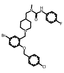 CN(CC1CCN(Cc2cc(Br)ccc2OCc2ccc(Cl)cc2)CC1)C(=O)Nc1ccc(F)cc1